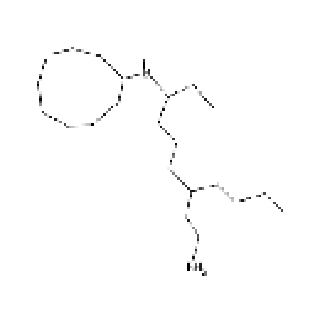 BCCC(CCCC)CCCC(BC1CCCCCCCC1)CC